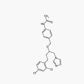 CC(=O)Nc1ccc(COC(CCc2ccc(Cl)cc2Cl)Cn2ccnc2)cc1